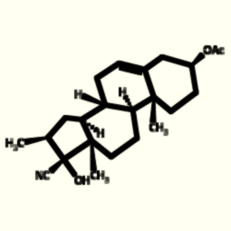 CC(=O)O[C@H]1CC[C@@]2(C)C(=CC[C@@H]3[C@@H]2CC[C@@]2(C)[C@H]3C[C@H](C)[C@]2(O)C#N)C1